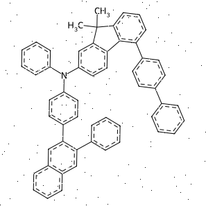 CC1(C)c2cc(N(c3ccccc3)c3ccc(-c4cc5ccccc5cc4-c4ccccc4)cc3)ccc2-c2c(-c3ccc(-c4ccccc4)cc3)cccc21